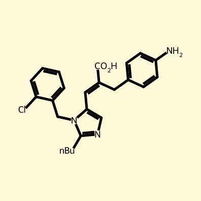 CCCCc1ncc(/C=C(\Cc2ccc(N)cc2)C(=O)O)n1Cc1ccccc1Cl